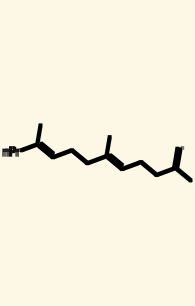 [CH]=C(C)CC/C=C(\C)CC/C=C(\C)CCC